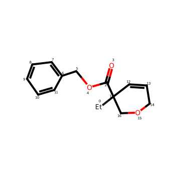 CCC1(C(=O)OCc2ccccc2)C=CCOC1